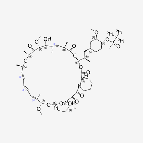 [2H]C([2H])([2H])P(C)(=O)O[C@@H]1CC[C@@H](C[C@@H](C)[C@@H]2CC(=O)[C@H](C)/C=C(\C)[C@@H](O)[C@@H](OC)C(=O)[C@H](C)C[C@H](C)/C=C/C=C/C=C(\C)[C@@H](OC)C[C@@H]3CC[C@@H](C)[C@@](O)(O3)C(=O)C(=O)N3CCCC[C@H]3C(=O)O2)C[C@H]1OC